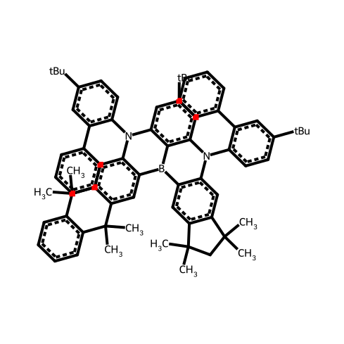 CC(C)(C)c1ccc(N2c3cc4c(cc3B3c5cc6c(cc5N(c5ccc(C(C)(C)C)cc5-c5ccccc5)c5cc(C(C)(C)C)cc2c53)C(C)(C)c2ccccc2C6(C)C)C(C)(C)CC4(C)C)c(-c2ccccc2)c1